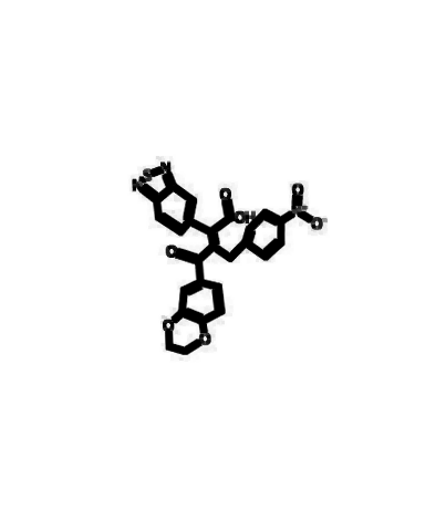 O=C(O)/C(=C(\Cc1ccc([N+](=O)[O-])cc1)C(=O)c1ccc2c(c1)OCCO2)c1ccc2nsnc2c1